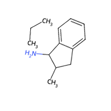 CC1Cc2ccccc2C1N.CCC